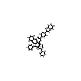 c1ccc(-c2ccc(-c3cc(-c4ccc(-c5cc6ccccc6s5)cc4)nc(-c4ccccc4-n4c5ccccc5c5ccccc54)n3)cc2)cc1